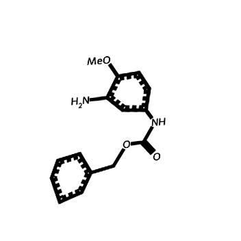 COc1ccc(NC(=O)OCc2ccccc2)cc1N